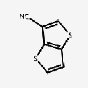 N#Cc1[c]sc2c[c]sc12